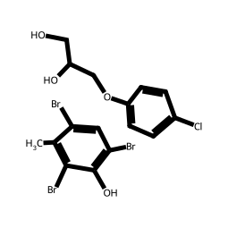 Cc1c(Br)cc(Br)c(O)c1Br.OCC(O)COc1ccc(Cl)cc1